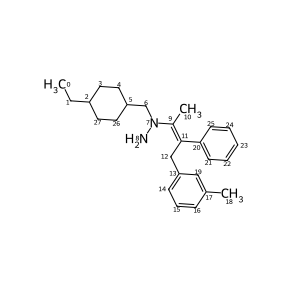 CCC1CCC(CN(N)/C(C)=C(\Cc2cccc(C)c2)c2ccccc2)CC1